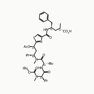 CCC(C)[C@H](NC(=O)[C@@H](C(C)C)N(C)C(=O)OC(C)(C)C)C(=O)N(C)[C@H](C[C@@H](OC(C)=O)c1nc(C(=O)N[C@@H](Cc2ccccc2)C[C@H](C)C(=O)O)cs1)C(C)C